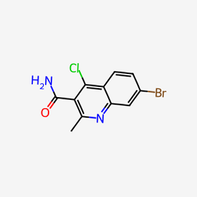 Cc1nc2cc(Br)ccc2c(Cl)c1C(N)=O